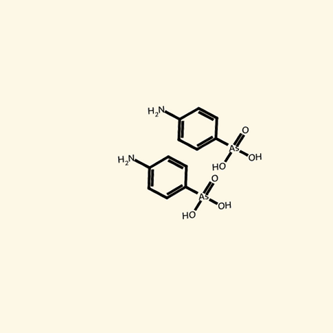 Nc1ccc([As](=O)(O)O)cc1.Nc1ccc([As](=O)(O)O)cc1